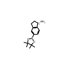 CC1(C)OB(c2ccc3c(c2)CC[C@@H]3N)OC1(C)C